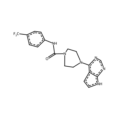 O=C(Nc1ccc(C(F)(F)F)cc1)N1CCN(c2ncnc3[nH]ccc23)CC1